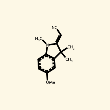 COc1ccc2c(c1)C(C)(C)/C(=C/C#N)N2C